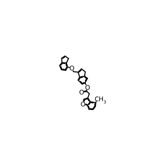 Cc1cccc2occ(CC(=O)Oc3ccc4c(c3)CC=C4COc3cccc4c3CC=C4)c12